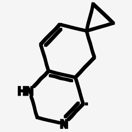 [C]1=NCNC2=C1CC1(C=C2)CC1